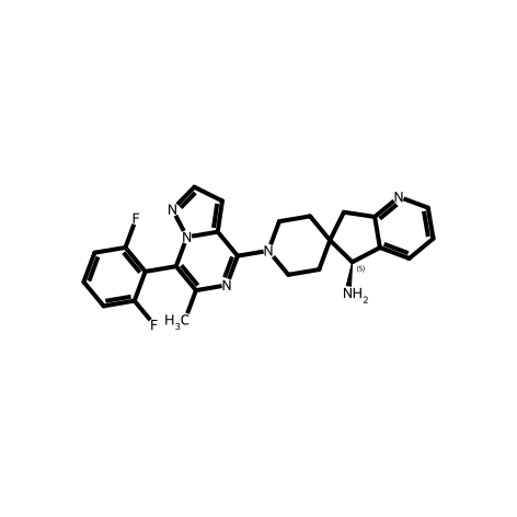 Cc1nc(N2CCC3(CC2)Cc2ncccc2[C@H]3N)c2ccnn2c1-c1c(F)cccc1F